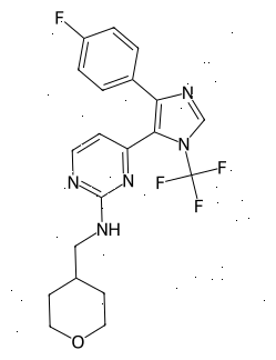 Fc1ccc(-c2ncn(C(F)(F)F)c2-c2ccnc(NCC3CCOCC3)n2)cc1